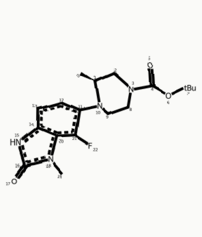 C[C@H]1CN(C(=O)OC(C)(C)C)CCN1c1ccc2[nH]c(=O)n(C)c2c1F